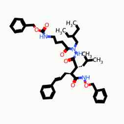 CCC(CC)CN(NC(=O)[C@H](CC(C)C)[C@H](CC=Cc1ccccc1)C(=O)NOCc1ccccc1)C(=O)CCCNC(=O)OCc1ccccc1